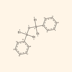 CC[Si](CC)(O[Si](CC)(CC)c1ccccc1)c1ccccc1